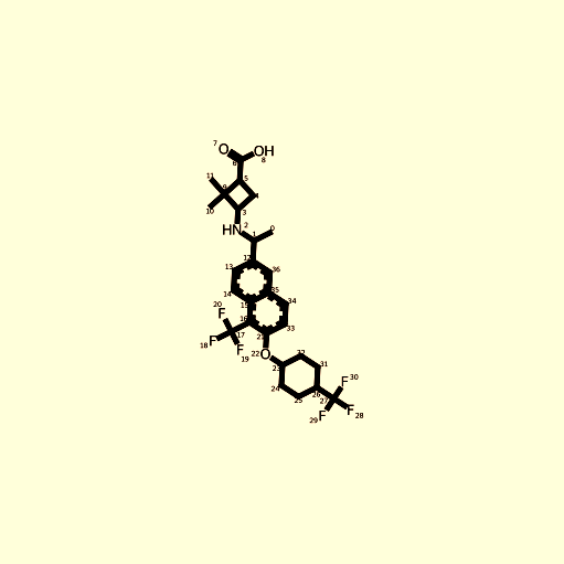 CC(NC1CC(C(=O)O)C1(C)C)c1ccc2c(C(F)(F)F)c(OC3CCC(C(F)(F)F)CC3)ccc2c1